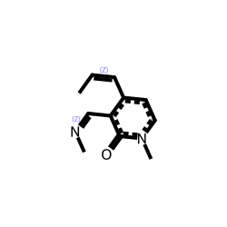 C/C=C\c1ccn(C)c(=O)c1/C=N\C